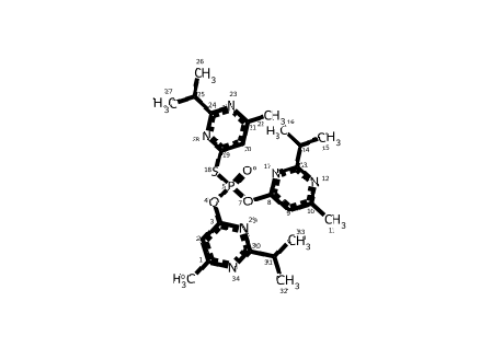 Cc1cc(OP(=O)(Oc2cc(C)nc(C(C)C)n2)Sc2cc(C)nc(C(C)C)n2)nc(C(C)C)n1